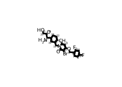 Cc1cc(OCc2ccc(F)cc2F)c(Br)c(=O)n1Cc1cccc(C(N)C(=O)CO)c1